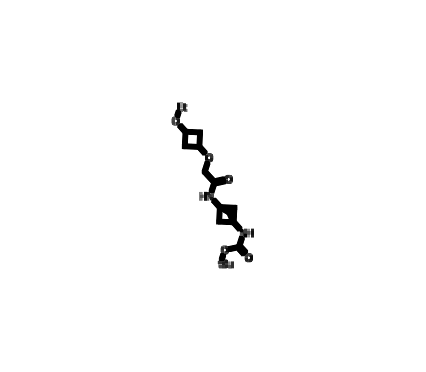 CCOC1CC(OCC(=O)NC23CC(NC(=O)OC(C)(C)C)(C2)C3)C1